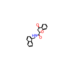 O=C1CC(C(=O)NCc2cccc3ccccc23)Oc2ccccc21